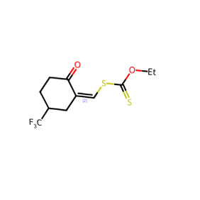 CCOC(=S)S/C=C1/CC(C(F)(F)F)CCC1=O